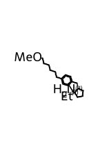 CC[C@@]1(N)CCC[C@@H]1Cc1ccc(CCCCCCOC)cc1